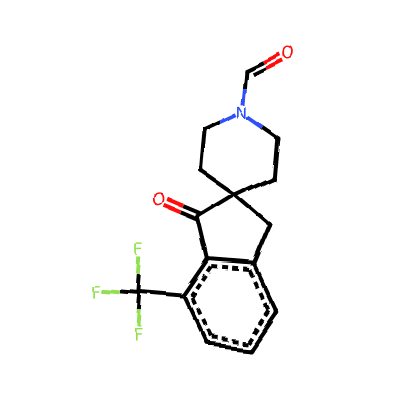 O=CN1CCC2(CC1)Cc1cccc(C(F)(F)F)c1C2=O